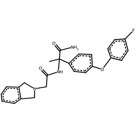 CC(NC(=O)CN1Cc2ccccc2C1)(C(N)=O)c1ccc(Oc2ccc(F)cc2)cc1